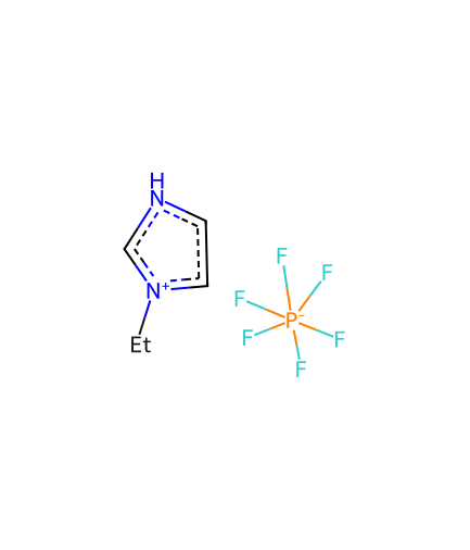 CC[n+]1cc[nH]c1.F[P-](F)(F)(F)(F)F